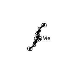 C=CC(=O)OCCCCCOc1ccc2cc(C(=O)Oc3ccc(OC(=O)c4ccc5cc(OCCCCCOC(=O)C=C)ccc5c4)c(C(=O)OC)c3)ccc2c1